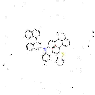 c1ccc(N(c2ccc(-c3cccc4cccc(-c5cccc6c5sc5ccccc56)c34)cc2)c2cc(-c3cccc4ccccc34)c3ccccc3c2)cc1